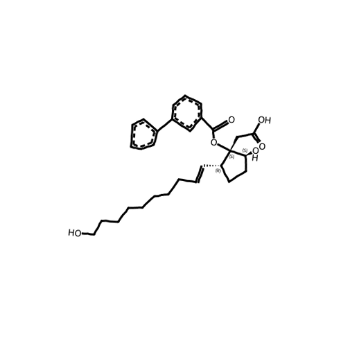 O=C(O)C[C@@]1(OC(=O)c2cccc(-c3ccccc3)c2)[C@@H](O)CC[C@@H]1C=CCCCCCCCCO